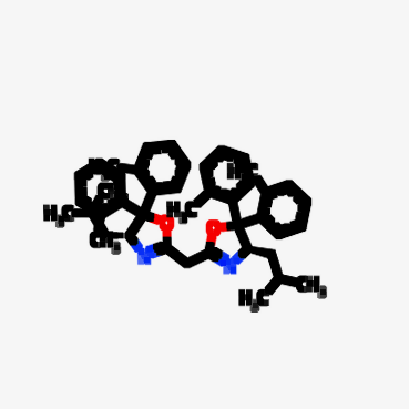 Cc1ccccc1C1(c2ccccc2C)OC(CC2=N[C@H](CC(C)C)C(c3ccccc3C)(c3ccccc3C)O2)=N[C@@H]1CC(C)C